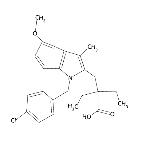 CCC(CC)(Cc1c(C)c2cc(OC)ccc2n1Cc1ccc(Cl)cc1)C(=O)O